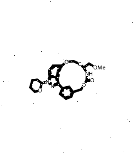 COCC1CCOc2ccc3c(c2)c(nn3C2CCCCO2)-c2cccc(c2)COC(=O)N1